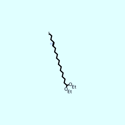 CCOC(CCCCCCCCCCCC/C=C/CCI)OCC